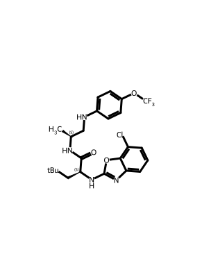 C[C@@H](CNc1ccc(OC(F)(F)F)cc1)NC(=O)[C@H](CC(C)(C)C)Nc1nc2cccc(Cl)c2o1